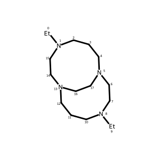 CCN1CCCN2CCN(CC)CCCN(CC1)CC2